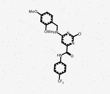 COc1ccc(CNc2cc(C(=O)Nc3ccc(C(F)(F)F)cc3)nc(Cl)n2)c(OC)c1